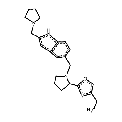 CCc1noc(C2CCCN2Cc2ccc3[nH]c(CN4CCCC4)cc3c2)n1